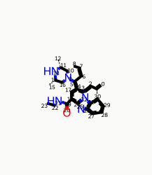 C=C/C=c1/c(=C(\C=C/C)N2C[C@@H](C)N[C@@H](C)C2)cc(C(=O)NCC)c2nc3ccccc3n12